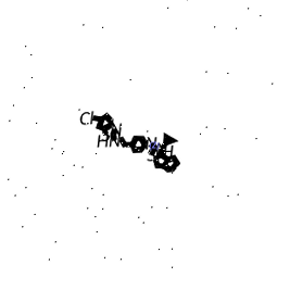 Clc1ccc2nc(NCCc3ccc(/N=C4\SC5Cc6ccccc6[C@@H]5N4C4CC4)cc3)sc2c1